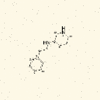 c1ccc(CCNC2CCCNC2)cc1